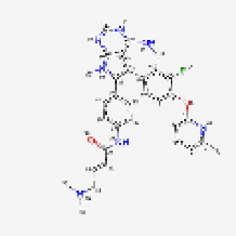 Cc1cccc(Oc2ccc3c(c2F)CNc2ncnc4c2c-3c(-c2ccc(NC(=O)/C=C/CN(C)C)cc2)n4C)n1